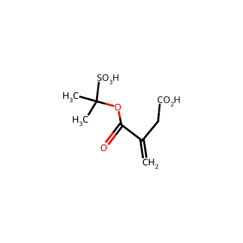 C=C(CC(=O)O)C(=O)OC(C)(C)S(=O)(=O)O